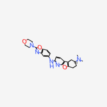 CN(C)[C@H]1CCc2oc3nc(Nc4ccc5oc(N6CCOCC6)nc5c4)ccc3c2C1